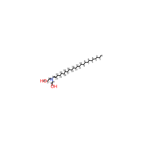 CCCCCCCCCCCCCCCCCCCCCCCC=CN(CCO)CCO